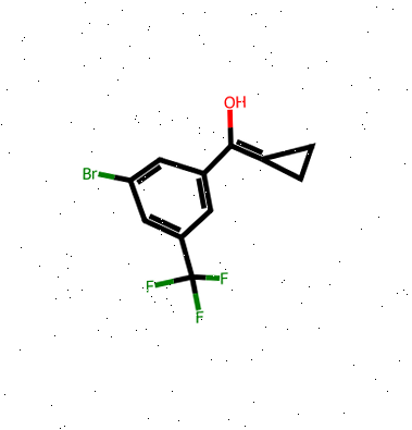 OC(=C1CC1)c1cc(Br)cc(C(F)(F)F)c1